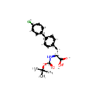 CC(C)(C)OC(=O)N[C@H](Cc1ccc(-c2ccc(Cl)cc2)cc1)C(=O)O